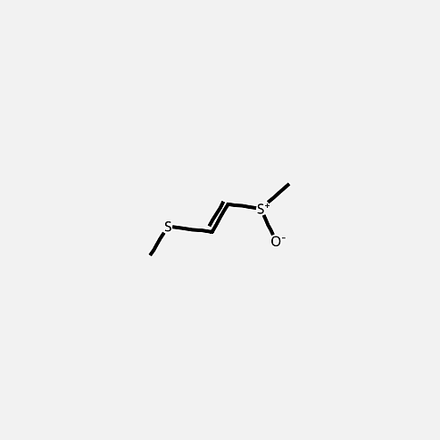 CSC=C[S+](C)[O-]